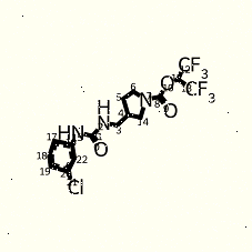 O=C(NCC1CCN(C(=O)OC(C(F)(F)F)C(F)(F)F)C1)Nc1cccc(Cl)c1